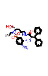 CC(C)CN([C@H](CO)CCCNC(=O)[C@@H](N)C(c1ccccc1)c1ccccc1)S(=O)(=O)c1ccc(N)cc1